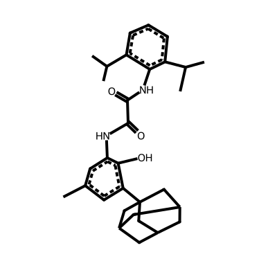 Cc1cc(NC(=O)C(=O)Nc2c(C(C)C)cccc2C(C)C)c(O)c(C23CC4CC(CC(C4)C2)C3)c1